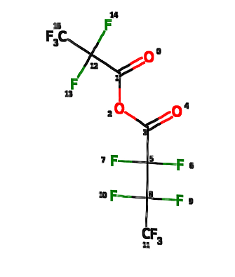 O=C(OC(=O)C(F)(F)C(F)(F)C(F)(F)F)C(F)(F)C(F)(F)F